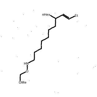 CCC=CC(CCCCCC)CCCCCCCNOCOC